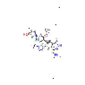 Cn1ncc(-c2ccc3c(=O)[nH]nc(CN)c3c2)c1-c1c(F)c(N2CCC(O)C2)cc(OC2CC2)c1C#N